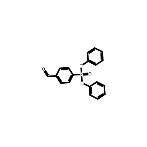 O=Cc1ccc(P(=O)(Oc2ccccc2)Oc2ccccc2)cc1